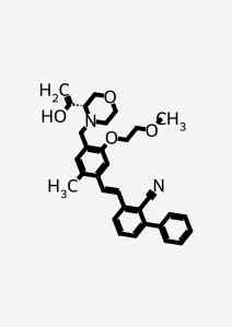 C=C(O)[C@@H]1COCCN1Cc1cc(C)c(/C=C/c2cccc(-c3ccccc3)c2C#N)cc1OCCOC